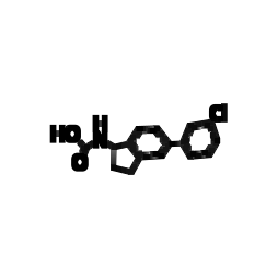 O=C(O)NC1CCc2cc(-c3cccc(Cl)c3)ccc21